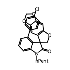 CCCCCN1C(=O)C2(COc3cc4c(cc32)OCO4)c2c(-c3ccc(Cl)cc3)cccc21